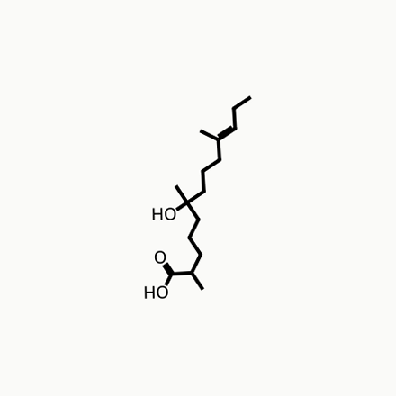 CC/C=C(\C)CCCC(C)(O)CCCC(C)C(=O)O